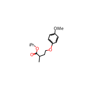 COc1ccc(OCCC(C)C(=O)OC(C)C)cc1